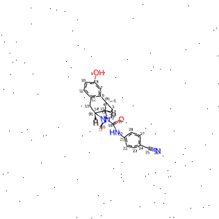 CN1CC[C@]2(C)c3cc(O)ccc3C[C@@H]1[C@H]2N(C)C(=O)Nc1ccc(C#N)cc1